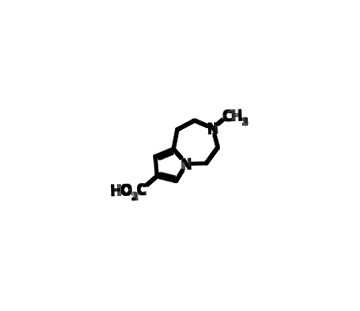 CN1CCc2cc(C(=O)O)cn2CC1